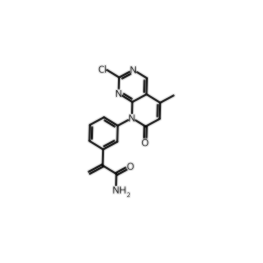 C=C(C(N)=O)c1cccc(-n2c(=O)cc(C)c3cnc(Cl)nc32)c1